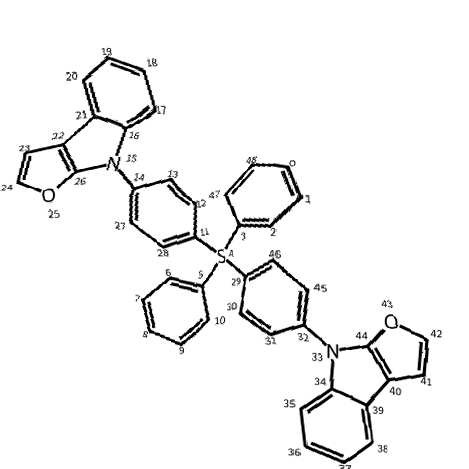 c1ccc(S(c2ccccc2)(c2ccc(-n3c4ccccc4c4ccoc43)cc2)c2ccc(-n3c4ccccc4c4ccoc43)cc2)cc1